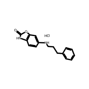 Cl.O=c1[nH]c2ccc(NCCCc3ccccc3)cc2o1